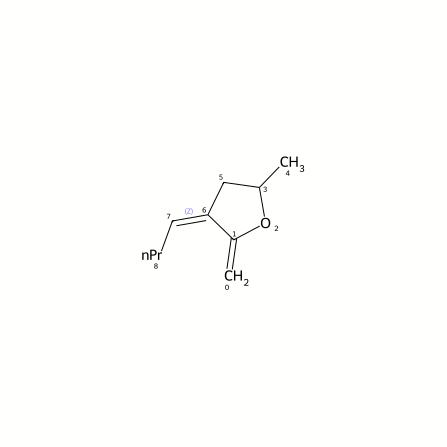 C=C1OC(C)C/C1=C/CCC